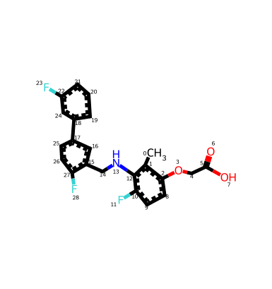 Cc1c(OCC(=O)O)ccc(F)c1NCc1cc(-c2cccc(F)c2)ccc1F